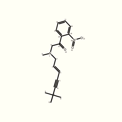 CN(C/C=C/C#CC(C)(C)C)CC(=O)c1ccccc1[N+](=O)[O-]